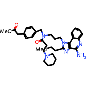 COCCc1nc2c(N)nc3ccccc3c2n1CCCN(Cc1ccc(CC(=O)OC)cc1)C(=O)CCN1CCCCC1